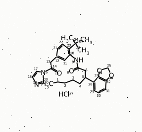 CCCCCC(CC(=O)Nc1cc(CC(=O)n2ccnc2)ccc1C(C)(C)C)c1cccc2c1OCO2.Cl